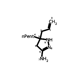 C=CCC1(CCCCC)CC(N)=NN1